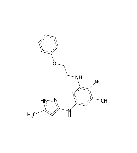 [C-]#[N+]c1c(C)cc(Nc2cc(C)[nH]n2)nc1NCCOc1ccccc1